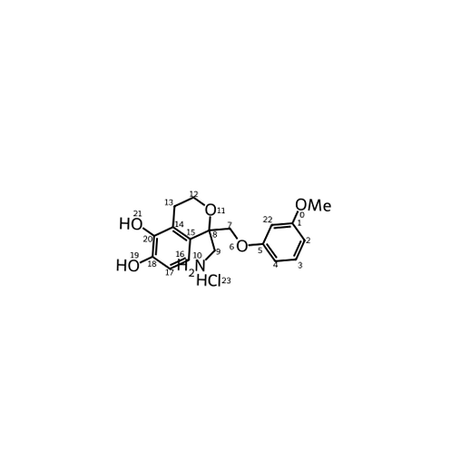 COc1cccc(OCC2(CN)OCCc3c2ccc(O)c3O)c1.Cl